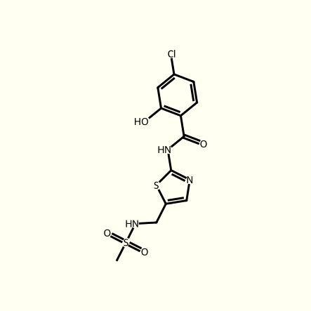 CS(=O)(=O)NCc1cnc(NC(=O)c2ccc(Cl)cc2O)s1